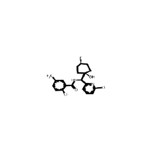 O=C(NC(c1cccc(Cl)n1)[C@]1(O)CC[C@@H](F)CC1)c1cc(C(F)(F)F)ccc1Cl